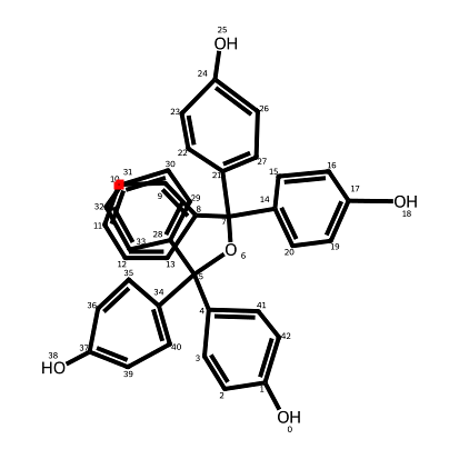 Oc1ccc(C(OC(c2ccccc2)(c2ccc(O)cc2)c2ccc(O)cc2)(c2ccccc2)c2ccc(O)cc2)cc1